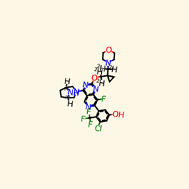 [2H]C([2H])(Oc1nc(N2C[C@H]3CC[C@@H](C2)N3)c2cnc(-c3cc(O)cc(Cl)c3C(F)(F)F)c(F)c2n1)C1(C([2H])([2H])N2CCOCC2)CC1